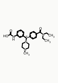 CCN(CC)C(=O)c1ccc([C@H](c2cccc(NC(=O)O)c2)N2CCN(C)CC2)cc1